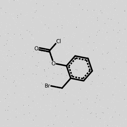 O=C(Cl)Oc1ccccc1CBr